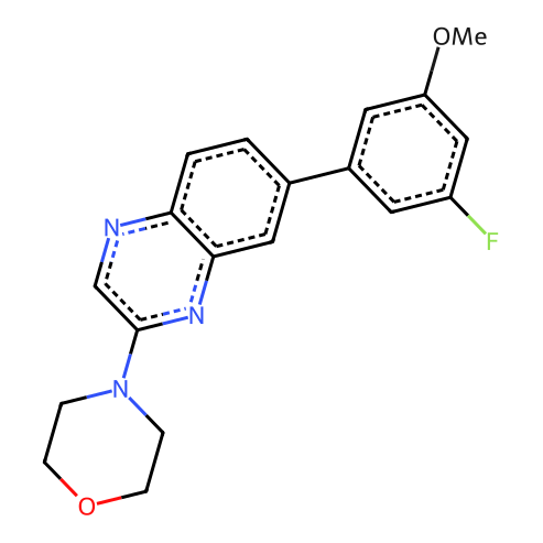 COc1cc(F)cc(-c2ccc3ncc(N4CCOCC4)nc3c2)c1